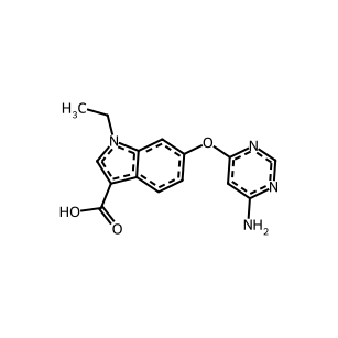 CCn1cc(C(=O)O)c2ccc(Oc3cc(N)ncn3)cc21